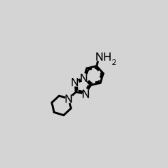 Nc1ccc2nc(N3CCCCC3)nn2c1